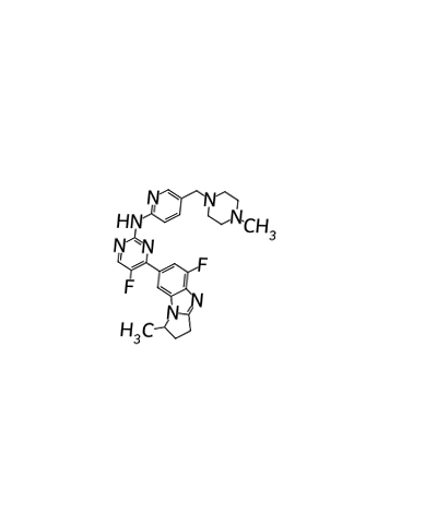 CC1CCc2nc3c(F)cc(-c4nc(Nc5ccc(CN6CCN(C)CC6)cn5)ncc4F)cc3n21